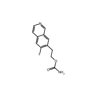 NC(=O)OCCc1cc2cnccc2cc1F